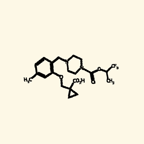 Cc1ccc(CN2CCN(C(=O)OC(C)C(F)(F)F)CC2)c(OCC2(C(=O)O)CC2)c1